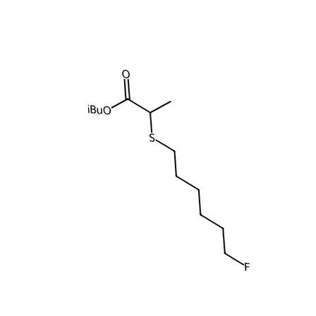 CC(C)COC(=O)C(C)SCCCCCCF